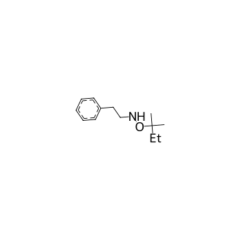 CCC(C)(C)ONCCc1ccccc1